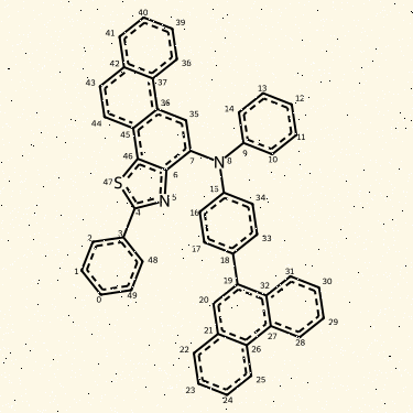 c1ccc(-c2nc3c(N(c4ccccc4)c4ccc(-c5cc6ccccc6c6ccccc56)cc4)cc4c5ccccc5ccc4c3s2)cc1